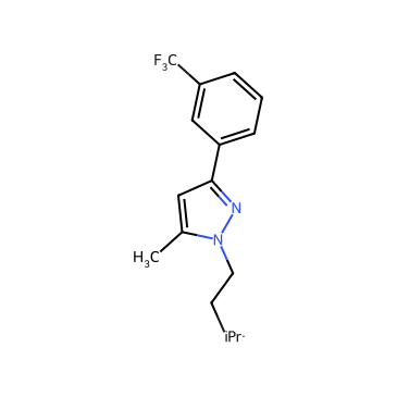 C[C](C)CCn1nc(-c2cccc(C(F)(F)F)c2)cc1C